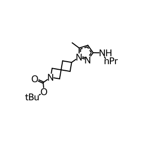 CCCNc1cc(C)n(C2CC3(C2)CN(C(=O)OC(C)(C)C)C3)n1